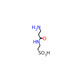 NCCC(=O)NCCS(=O)(=O)O